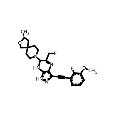 COc1cccc(C#Cc2n[nH]c3c2N=C(CF)C(N2CCC4(CC2)CO[C@@H](C)C4)N3)c1F